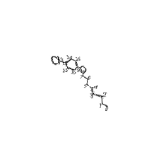 CCCCCCCCOc1ccc(Cl)cc1